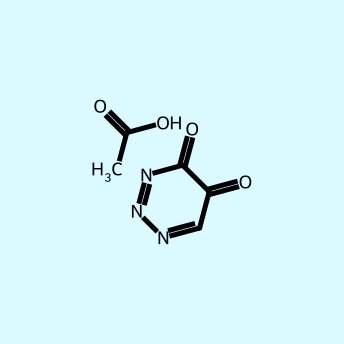 CC(=O)O.O=C1C=NN=NC1=O